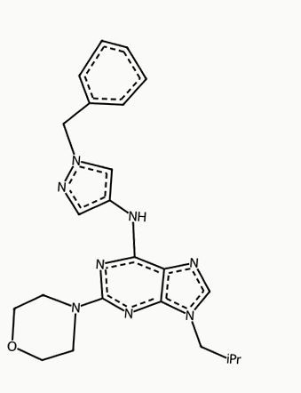 CC(C)Cn1cnc2c(Nc3cnn(Cc4ccccc4)c3)nc(N3CCOCC3)nc21